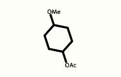 COC1CCC(OC(C)=O)CC1